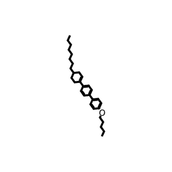 CCCCCCCCC1CC=C(c2ccc(-c3ccc(OCCCCC)cc3)cc2)CC1